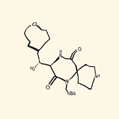 CCCCN1C(=O)[C@@H]([C@H](O)C2CCOCC2)NC(=O)C12CCNCC2